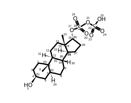 C[C@]12CC[C@H](O)C[C@@H]1CC[C@@H]1[C@@H]2CC[C@]2(C)[C@H](OS(=O)(=O)OS(=O)(=O)O)CC[C@@H]12